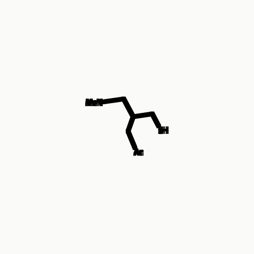 CNCC(CS)CC(C)=O